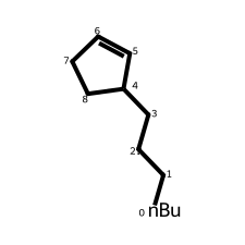 CCCCC[CH]CC1C=CCC1